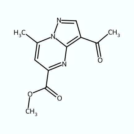 COC(=O)c1cc(C)n2ncc(C(C)=O)c2n1